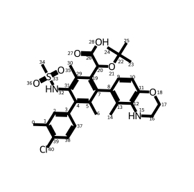 Cc1cc(-c2c(C)c(-c3ccc4c(c3C)NCCO4)c(C(OC(C)(C)C)C(=O)O)c(C)c2NS(C)(=O)=O)ccc1Cl